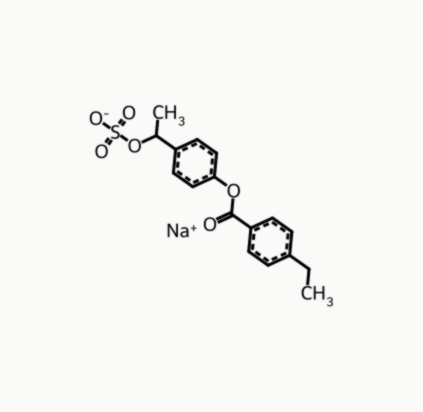 CCc1ccc(C(=O)Oc2ccc(C(C)OS(=O)(=O)[O-])cc2)cc1.[Na+]